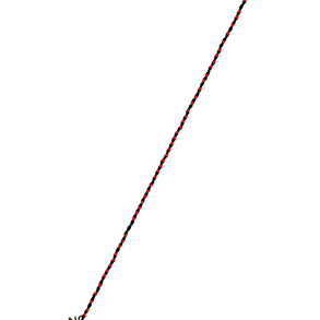 CC#CC#CC#CC#CC#CC#CC#CC#CC#CC#CC#CC#CC#CC#CC#CC#CC#CC#CC#CC#CC#CC#CC#CC#CC#CC#CC#CC#CC#CC#CC#CC#CC#CC#CC#CC#CC#CC#CC#CC#CC#CC#CC#CC#CC#CC#CC#CC#CC#CC#CC#CC#CC#CC#CC#CC#CC#CC#CC#CC#N